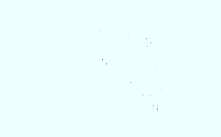 ON=Cc1cccc2c1CC(=CCCN1CCC(O)(c3ccc(Cl)cc3)CC1)c1cccnc1O2